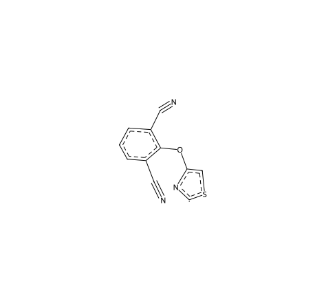 N#Cc1cccc(C#N)c1Oc1cs[c]n1